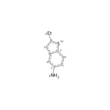 CCc1cc2cc(N)ccc2s1